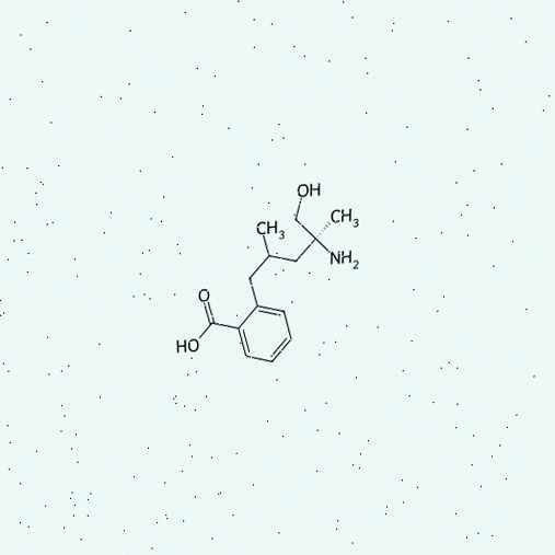 CC(Cc1ccccc1C(=O)O)C[C@](C)(N)CO